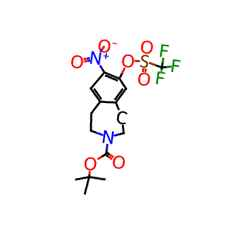 CC(C)(C)OC(=O)N1CCc2cc(OS(=O)(=O)C(F)(F)F)c([N+](=O)[O-])cc2CC1